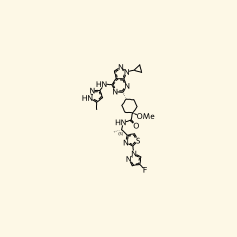 CO[C@]1(C(=O)N[C@@H](C)c2csc(-n3cc(F)cn3)n2)CC[C@@H](c2nc(Nc3cc(C)[nH]n3)c3cnn(C4CC4)c3n2)CC1